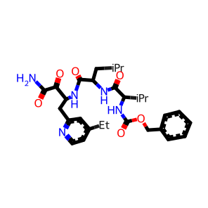 CCc1ccnc(CC(NC(=O)C(CC(C)C)NC(=O)C(NC(=O)OCc2ccccc2)C(C)C)C(=O)C(N)=O)c1